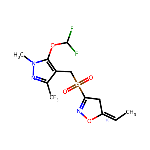 C/C=C1\CC(S(=O)(=O)Cc2c(C(F)(F)F)nn(C)c2OC(F)F)=NO1